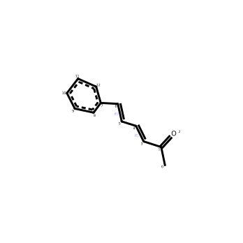 CC(=O)/C=C/C=C/c1ccccc1